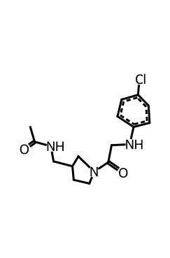 CC(=O)NCC1CCN(C(=O)CNc2ccc(Cl)cc2)C1